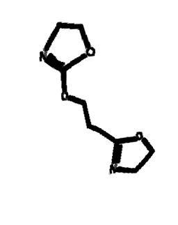 C1COC(CCOC2=NCCO2)=N1